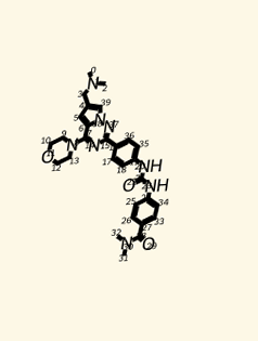 CN(C)Cc1cc2c(N3CCOCC3)nc(-c3ccc(NC(=O)Nc4ccc(C(=O)N(C)C)cc4)cc3)nn2c1